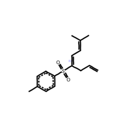 C=CC/C(=C\C=C(C)C)S(=O)(=O)c1ccc(C)cc1